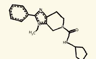 Cn1c(-c2ccccc2)nc2c1CN(C(=O)NC1CCCC1)CC2